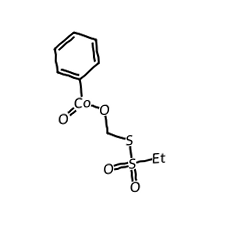 CCS(=O)(=O)SC[O][Co](=[O])[c]1ccccc1